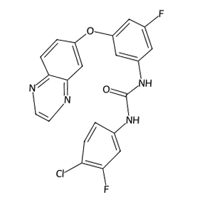 O=C(Nc1cc(F)cc(Oc2ccc3nccnc3c2)c1)Nc1ccc(Cl)c(F)c1